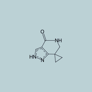 O=C1NCC2(CC2)c2n[nH]cc21